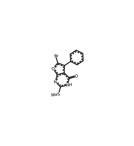 CSc1nc2oc(Br)c(-c3ccccc3)c2c(=O)[nH]1